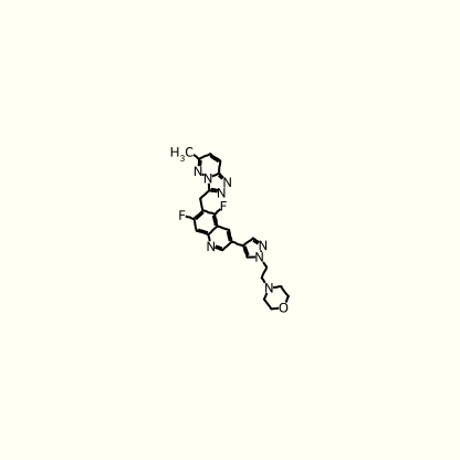 Cc1ccc2nnc(Cc3c(F)cc4ncc(-c5cnn(CCN6CCOCC6)c5)cc4c3F)n2n1